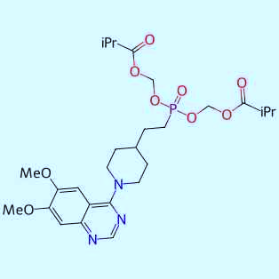 COc1cc2ncnc(N3CCC(CCP(=O)(OCOC(=O)C(C)C)OCOC(=O)C(C)C)CC3)c2cc1OC